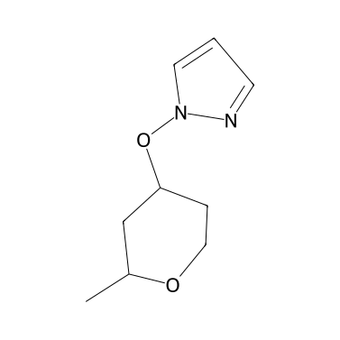 CC1CC(On2cccn2)CCO1